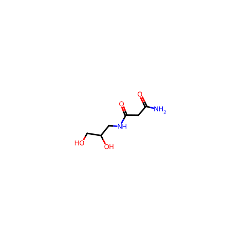 NC(=O)CC(=O)NCC(O)CO